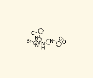 Clc1ccccc1-c1cc(NC2CCN(Cc3cccc4c3OCO4)CC2)n2ncc(Br)c2n1